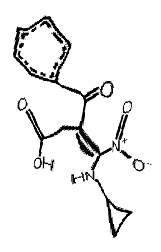 O=C(O)C(C(=O)c1ccccc1)=C(NC1CC1)[N+](=O)[O-]